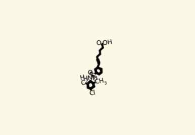 Cc1cc(Cl)cc(C)c1NS(=O)(=O)c1cccc(C#CCCCCC(=O)O)c1